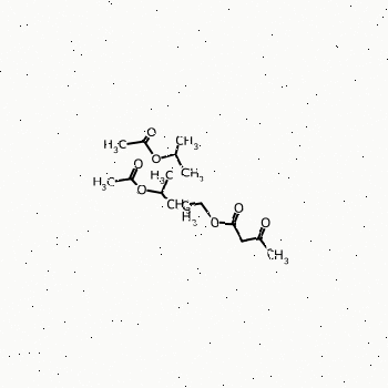 CC(=O)OC(C)C.CC(=O)OC(C)C.CCOC(=O)CC(C)=O